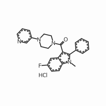 Cl.Cn1c(-c2ccccc2)c(C(=O)N2CCN(c3cccnc3)CC2)c2cc(F)ccc21